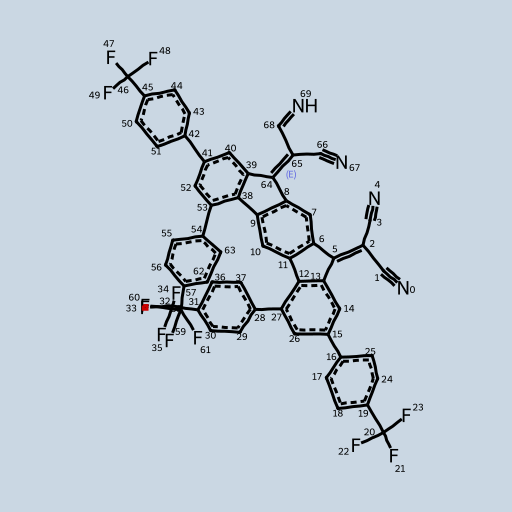 N#CC(C#N)=C1c2cc3c(cc2-c2c1cc(-c1ccc(C(F)(F)F)cc1)cc2-c1ccc(C(F)(F)F)cc1)-c1c(cc(-c2ccc(C(F)(F)F)cc2)cc1-c1ccc(C(F)(F)F)cc1)/C3=C(/C#N)C=N